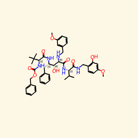 COc1cccc(CN[C@@H](C(=O)N[C@H](C(=O)NCc2ccc(OC)cc2O)C(C)C)[C@H](O)[C@H](Cc2ccccc2)NC(=O)[C@@H](NC(=O)OCc2ccccc2)C(C)(C)C)c1